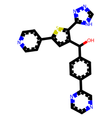 OC(c1ccc(-c2cnccn2)cc1)c1cc(-c2ccncc2)sc1-c1nnc[nH]1